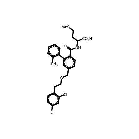 CSCCC(NC(=O)c1ccc(COCCc2ccc(Cl)cc2Cl)cc1-c1ccccc1C)C(=O)O